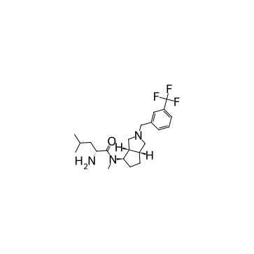 CC(C)C[C@@H](N)C(=O)N(C)[C@@H]1CC[C@H]2CN(Cc3cccc(C(F)(F)F)c3)C[C@H]21